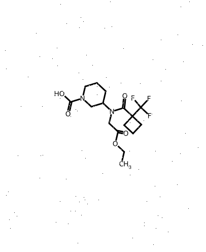 CCOC(=O)CN(C(=O)C1(C(F)(F)F)CCC1)C1CCCN(C(=O)O)C1